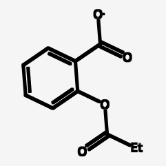 CCC(=O)Oc1ccccc1C([O])=O